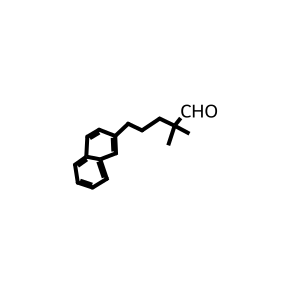 CC(C)(C=O)CCCc1ccc2ccccc2c1